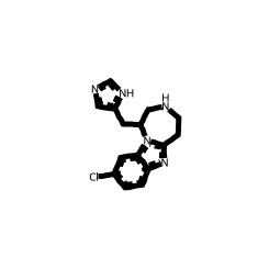 Clc1ccc2nc3n(c2c1)C(Cc1cnc[nH]1)CNCC3